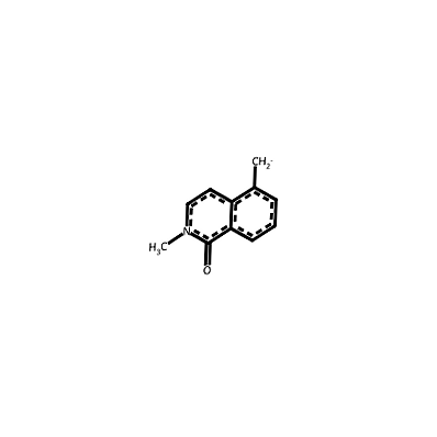 [CH2]c1cccc2c(=O)n(C)ccc12